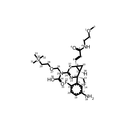 COCCNC(=O)C=C[C@]12C[C@H]1[C@@](CF)(c1cc(N)ccc1F)N=C(N(COCC[Si](C)(C)C)C(=O)O)S2